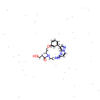 O=C(CCO)N1CCNc2ccn3ncc(c3n2)-c2cccc(c2)OCC1